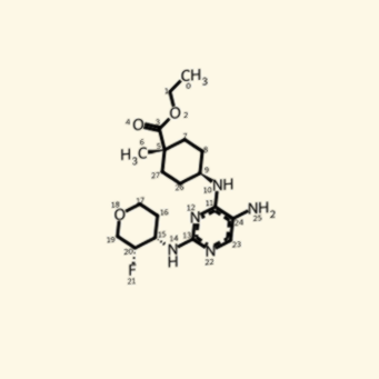 CCOC(=O)[C@]1(C)CC[C@@H](Nc2nc(N[C@H]3CCOC[C@H]3F)ncc2N)CC1